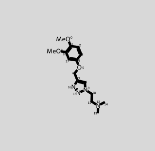 COc1ccc(OCc2cn(CCN(C)C)nn2)cc1OC